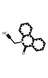 C#CCn1c(=O)c2ccccc2c2ccccc21